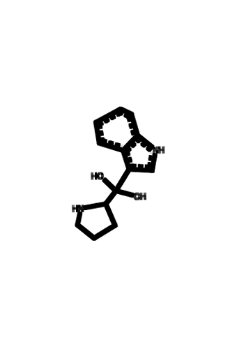 OC(O)(c1c[nH]c2ccccc12)C1CCCN1